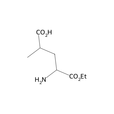 CCOC(=O)C(N)CC(C)C(=O)O